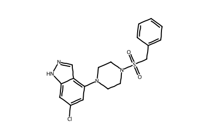 O=S(=O)(Cc1ccccc1)N1CCN(c2cc(Cl)cc3[nH]ncc23)CC1